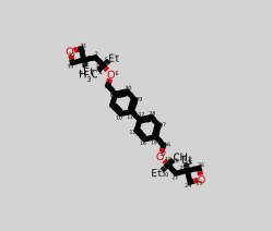 CCC1(CC(C)(CC)OCc2ccc(-c3ccc(COC(C)(CC)CC4(CC)COC4)cc3)cc2)COC1